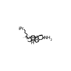 CC(C)CCC[C@@H](C)[C@H]1CC[C@H]2[C@@H]3CCC4C[C@H](N)C=C[C@]4(C)[C@H]3CC[C@]12C